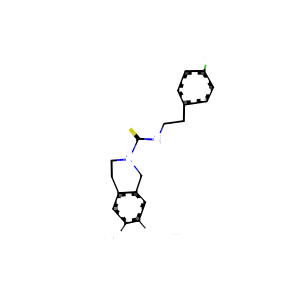 O=C(O)c1cc2c(cc1C(=O)O)CN(C(=S)NCCc1ccc(Cl)cc1)CC2